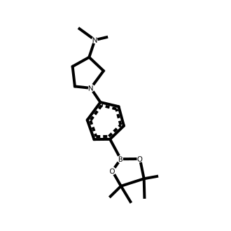 CN(C)C1CCN(c2ccc(B3OC(C)(C)C(C)(C)O3)cc2)C1